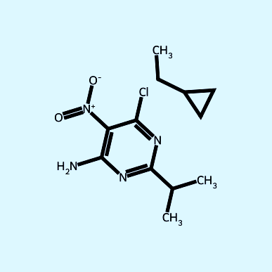 CC(C)c1nc(N)c([N+](=O)[O-])c(Cl)n1.CCC1CC1